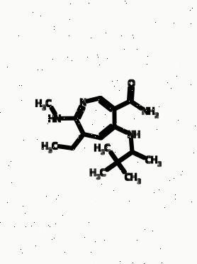 CCC1C=C(NC(C)C(C)(C)C)C(C(N)=O)=CN=C1NC